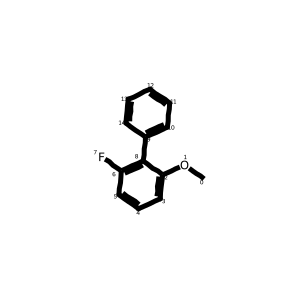 COc1cccc(F)c1-c1ccccc1